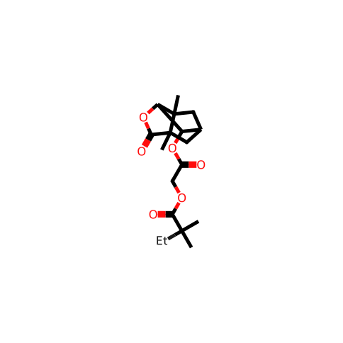 CCC(C)(C)C(=O)OCC(=O)OC1C2CC3(C)C(=O)OC1C3(C)C2